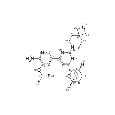 Nc1ncc(-c2cc(N3C[C@@H]4CC[C@H]3CO4)nc(N3CCC4(CC3)COC4)n2)cc1OC(F)F